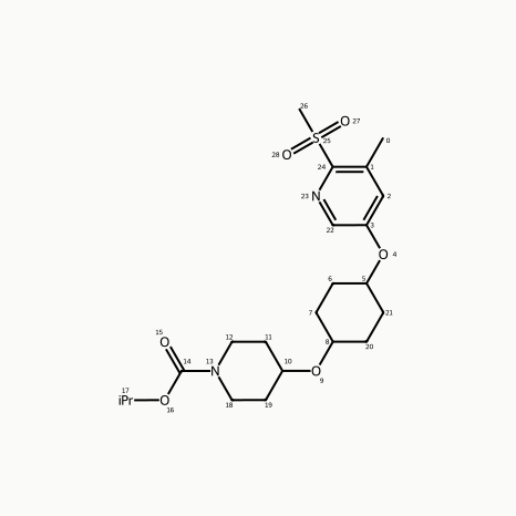 Cc1cc(OC2CCC(OC3CCN(C(=O)OC(C)C)CC3)CC2)cnc1S(C)(=O)=O